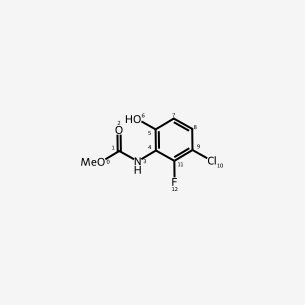 COC(=O)Nc1c(O)ccc(Cl)c1F